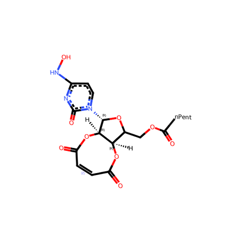 CCCCCC(=O)OCC1O[C@@H](n2ccc(NO)nc2=O)[C@@H]2OC(=O)/C=C\C(=O)O[C@H]12